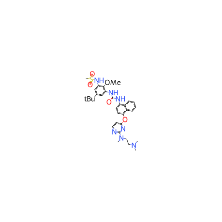 COc1c(NC(=O)Nc2ccc(Oc3ccnc(N(C)CCN(C)C)n3)c3ccccc23)cc(C(C)(C)C)cc1NS(C)(=O)=O